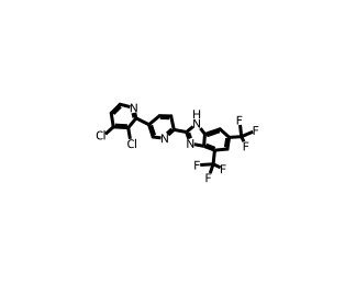 FC(F)(F)c1cc(C(F)(F)F)c2nc(-c3ccc(-c4nccc(Cl)c4Cl)cn3)[nH]c2c1